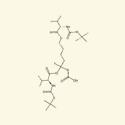 CC(C)[C@H](NC(=O)OC(C)(C)C)C(=O)OCCCCC(I)(OC(=O)O)OC(=O)[C@@H](NC(=O)OC(C)(C)C)C(C)C